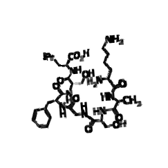 CC(C)C[C@H](NC(=O)[C@H](CO)NC(=O)[C@H](Cc1ccccc1)NC(=O)CNC(=O)[C@H](CO)NC(=O)[C@H](C)NC(=O)[C@@H](N)CCCCN)C(=O)O